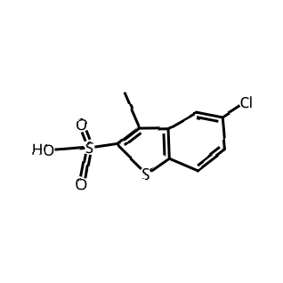 Cc1c(S(=O)(=O)O)sc2ccc(Cl)cc12